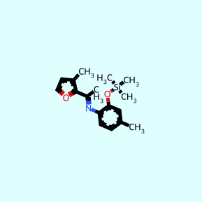 CC(=Nc1ccc(C)cc1O[Si](C)(C)C)c1occc1C